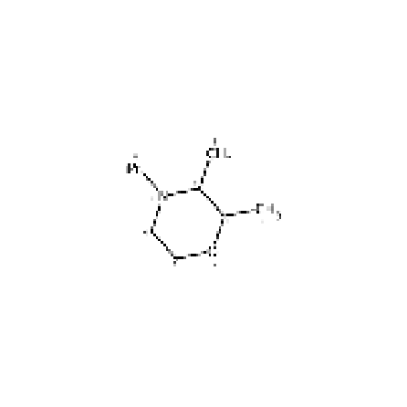 CC1OCCN(C(C)C)C1C